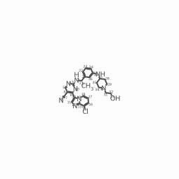 C[C@H](Nc1ncc(C#N)c(-c2cnc3c(Cl)cccn23)n1)c1cccc(NC2CCN(CCO)CC2)c1